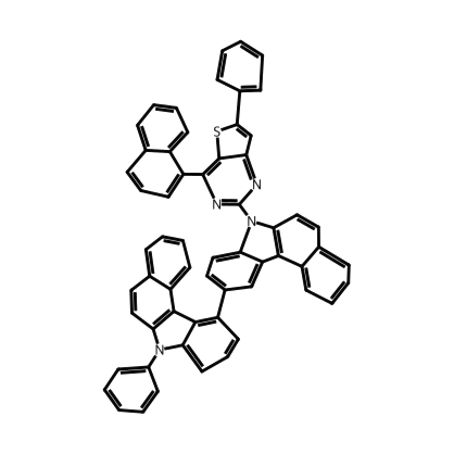 c1ccc(-c2cc3nc(-n4c5ccc(-c6cccc7c6c6c8ccccc8ccc6n7-c6ccccc6)cc5c5c6ccccc6ccc54)nc(-c4cccc5ccccc45)c3s2)cc1